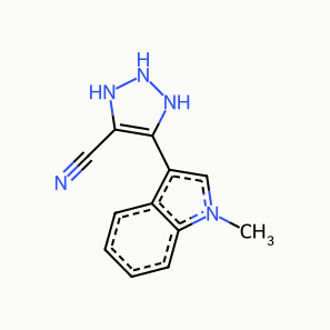 Cn1cc(C2=C(C#N)NNN2)c2ccccc21